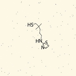 CC(C)(CS)CCCNc1nccs1